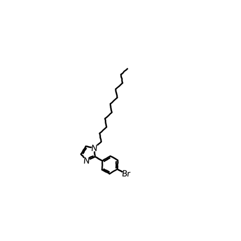 CCCCCCCCCCCn1ccnc1-c1ccc(Br)cc1